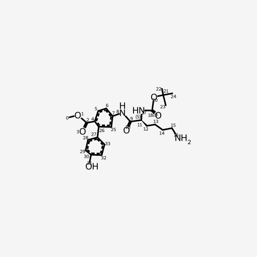 COC(=O)c1ccc(NC(=O)[C@H](CCCCN)NC(=O)OC(C)(C)C)cc1-c1ccc(O)cc1